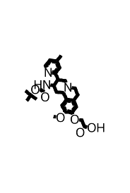 COc1cc2c(cc1OCC(=O)O)CCN1CC(c3cc(C)ccn3)C(NC(=O)OC(C)(C)C)CC21